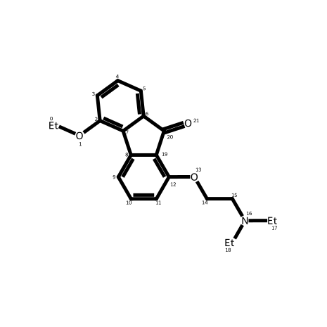 CCOc1cccc2c1-c1cccc(OCCN(CC)CC)c1C2=O